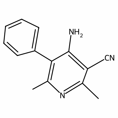 Cc1nc(C)c(-c2ccccc2)c(N)c1C#N